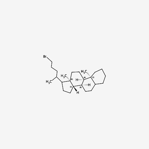 CC(CCCBr)C1CC[C@H]2[C@@H]3CCC4CCCC[C@]4(C)[C@@H]3CC[C@]12C